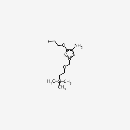 C[Si](C)(C)CCOCn1cc(N)c(OCCF)n1